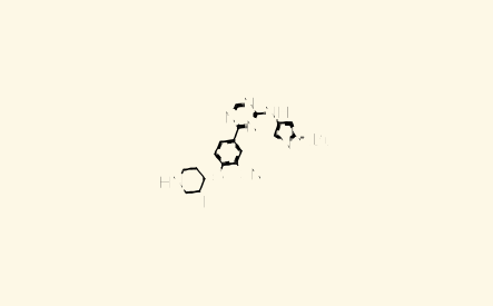 CC(C)(C)n1cc(Nc2ncnc(-c3ccc(O[C@H]4CCNC[C@H]4F)c(C#N)c3)n2)cn1